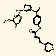 COc1nc(NN2CCN(C(=O)c3ccc(NC(=O)/C=C/CN4CCOCC4)cc3)C2)ncc1Cl